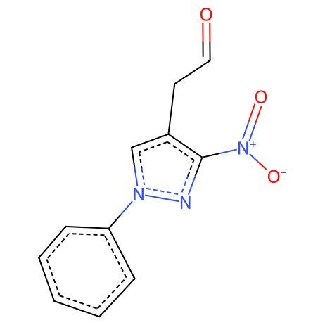 O=CCc1cn(-c2ccccc2)nc1[N+](=O)[O-]